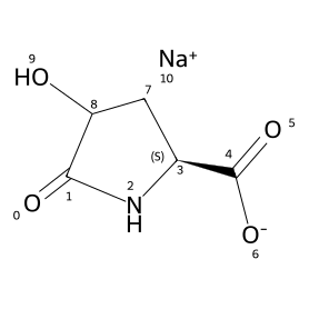 O=C1N[C@H](C(=O)[O-])CC1O.[Na+]